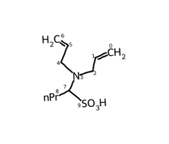 C=CCN(CC=C)C(CCC)S(=O)(=O)O